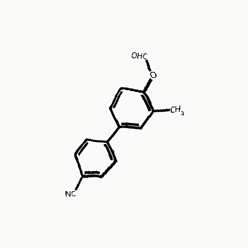 Cc1cc(-c2ccc(C#N)cc2)ccc1OC=O